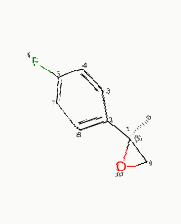 C[C@]1(c2ccc(F)cc2)CO1